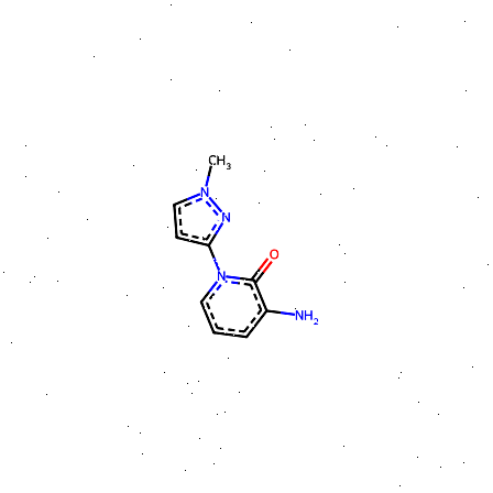 Cn1ccc(-n2cccc(N)c2=O)n1